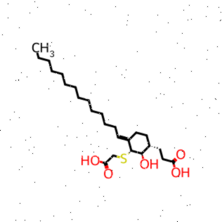 CCCCCCCCCCCCC/C=C1\CC[C@H](CCC(=O)O)[C@@H](O)[C@@H]1SCC(=O)O